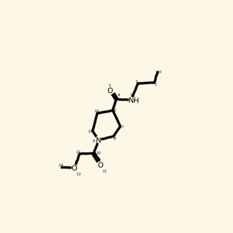 CCCNC(=O)C1CCN(C(=O)COC)CC1